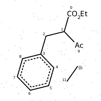 CCOC(=O)C(Cc1ccccc1)C(C)=O.[CH2]C